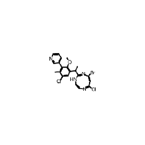 COc1c(C(C)c2nc(Br)cc(Cl)ncc[nH]2)cc(Cl)c(C)c1-c1cccnc1